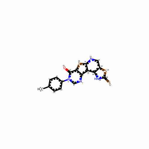 Cc1ccc(-n2cnc3c(sc4ncc5sc(=S)[nH]c5c43)c2=O)cc1